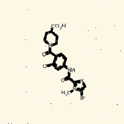 Cn1c(Br)cnc1C(=O)Nc1ccc(C(=O)N2CCC(C(=O)O)CC2)c(Cl)c1